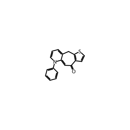 O=C1C=C2C(=CC=CN2c2ccccc2)Cc2sccc21